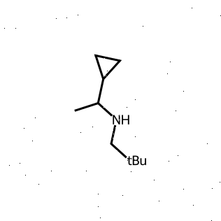 CC(NCC(C)(C)C)C1CC1